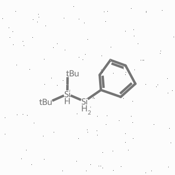 CC(C)(C)[SiH]([SiH2]c1ccccc1)C(C)(C)C